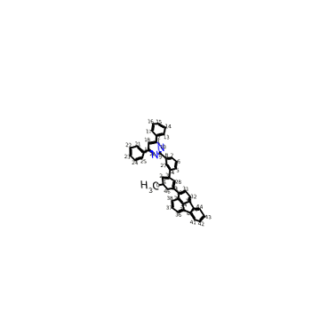 CC1C=C(c2cccc(-c3nc(-c4ccccc4)cc(-c4ccccc4)n3)c2)C=C(c2ccc3c4c(cccc24)-c2ccccc2-3)C1